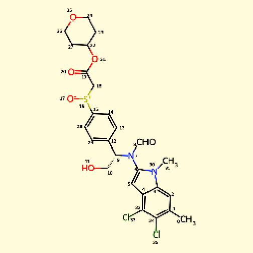 Cc1cc2c(cc(N(C=O)[C@H](CO)c3ccc([S+]([O-])CC(=O)OC4CCOCC4)cc3)n2C)c(Cl)c1Cl